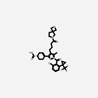 Cc1c(CCCC(=O)N2CCC3(COC3)C2)c(C2=CC[C@@H](C(=O)O)CC2)nn1C(=O)c1c(Cl)cccc1C1(C(F)(F)F)CC1